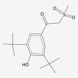 CC(C)(C)c1cc(C(=O)CS(C)(=O)=O)cc(C(C)(C)C)c1O